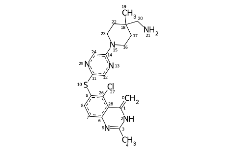 C=C1NC(C)=Nc2ccc(Sc3cnc(N4CCC(C)(CN)CC4)cn3)c(Cl)c21